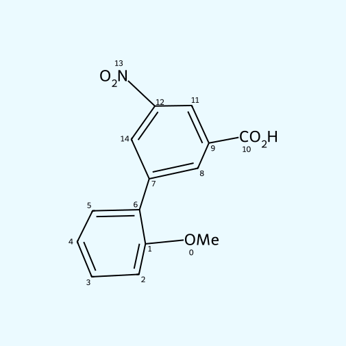 COc1ccccc1-c1cc(C(=O)O)cc([N+](=O)[O-])c1